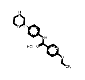 Cl.O=C(Nc1ccc([C@H]2CNCCO2)cc1)c1ccc(OCC(F)(F)F)nc1